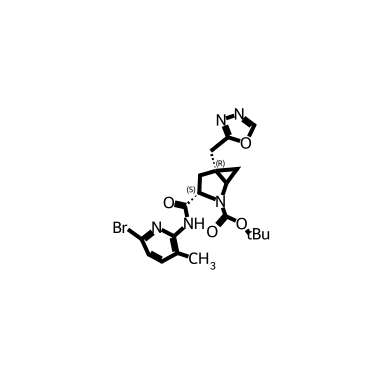 Cc1ccc(Br)nc1NC(=O)[C@@H]1C[C@@]2(Cc3nnco3)CC2N1C(=O)OC(C)(C)C